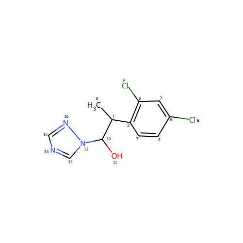 CC(c1ccc(Cl)cc1Cl)C(O)n1cncn1